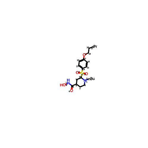 CCCCN1CCC(C(=O)NO)CC1S(=O)(=O)c1ccc(OCCC(C)C)cc1